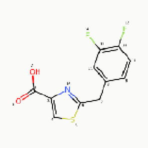 O=C(O)c1csc(Cc2ccc(F)c(F)c2)n1